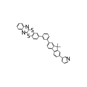 CC1(C)c2cc(-c3cccnc3)ccc2-c2ccc(-c3cccc(-c4ccc5c(c4)Sc4nc6ccccc6nc4S5)c3)cc21